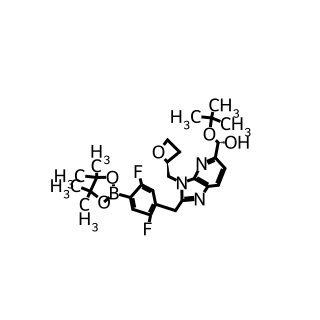 CC(C)(C)O[C@H](O)c1ccc2nc(Cc3cc(F)c(B4OC(C)(C)C(C)(C)O4)cc3F)n(C[C@@H]3CCO3)c2n1